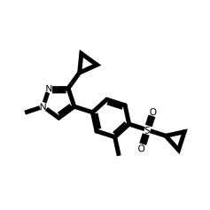 Cc1cc(-c2cn(C)nc2C2CC2)ccc1S(=O)(=O)C1CC1